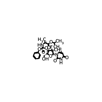 CC(C)OC(=O)[C@H](C)NP(=O)(Oc1ccccc1)O[C@@H]1[C@@H](CO)O[C@@H](n2ccc(=O)[nH]c2=O)[C@]1(C)F